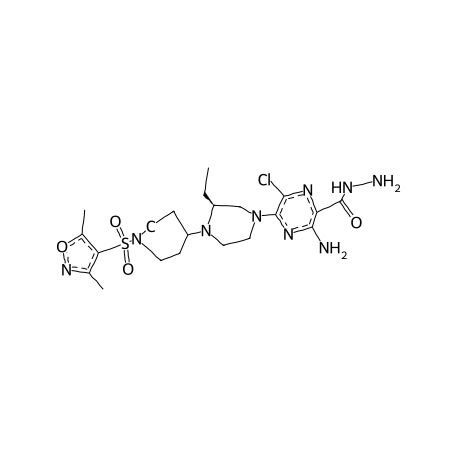 CC[C@H]1CN(c2nc(N)c(C(=O)NN)nc2Cl)CCN1C1CCN(S(=O)(=O)c2c(C)noc2C)CC1